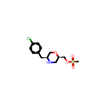 CS(=O)(=O)OC[C@H]1CN[C@@H](Cc2ccc(Cl)cc2)CO1